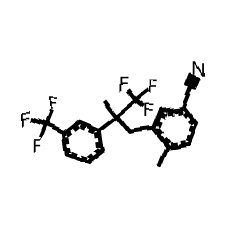 Cc1ccc(C#N)cc1CC(C)(c1cccc(C(F)(F)F)c1)C(F)(F)F